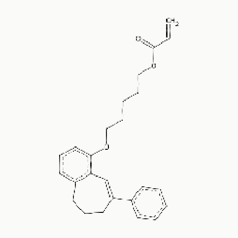 C=CC(=O)OCCCCCOc1cccc2c1C=C(c1ccccc1)CCC2